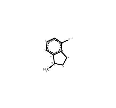 C[C@@H]1CCc2c(F)cccc21